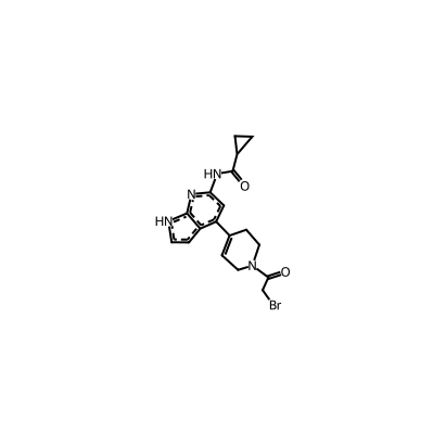 O=C(Nc1cc(C2=CCN(C(=O)CBr)CC2)c2cc[nH]c2n1)C1CC1